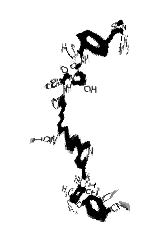 Cc1ncsc1-c1ccc([C@H](C)NC(=O)[C@@H]2C[C@@H](O)CN2C(=O)C(NC(=O)CCCC/C(CCCc2ccc(C(=O)NC3C(C)(C)C(Oc4ccc(C#N)c(Cl)c4)C3(C)C)nc2)=N\O)C(C)(C)C)cc1